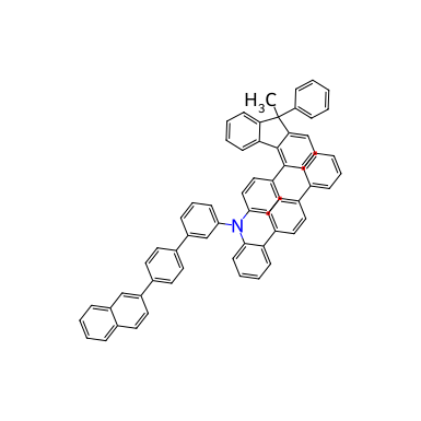 CC1(c2ccccc2)c2ccccc2-c2c(-c3ccc(N(c4cccc(-c5ccc(-c6ccc7ccccc7c6)cc5)c4)c4ccccc4-c4ccc(-c5ccccc5)cc4)cc3)cccc21